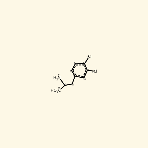 NC(Cc1ccc(Cl)c(Cl)c1)C(=O)O